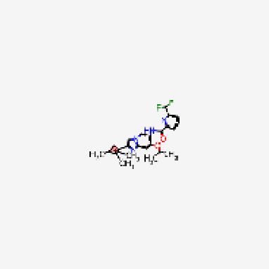 CC(C)Oc1cc2nc(C34CC(C)(C3)OC4(C)C)cn2cc1NC(=O)c1cccc(C(F)F)n1